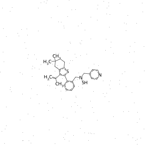 C=C(C)c1c(-c2ccccc2CN(S)Cc2ccncc2)sc2c1CC(C)(C)CC2